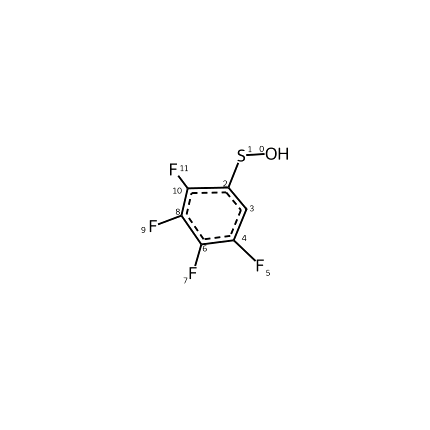 OSc1cc(F)c(F)c(F)c1F